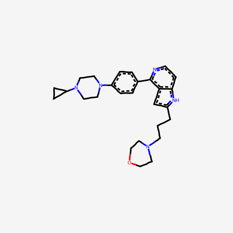 c1cc2[nH]c(CCCN3CCOCC3)cc2c(-c2ccc(N3CCN(C4CC4)CC3)cc2)n1